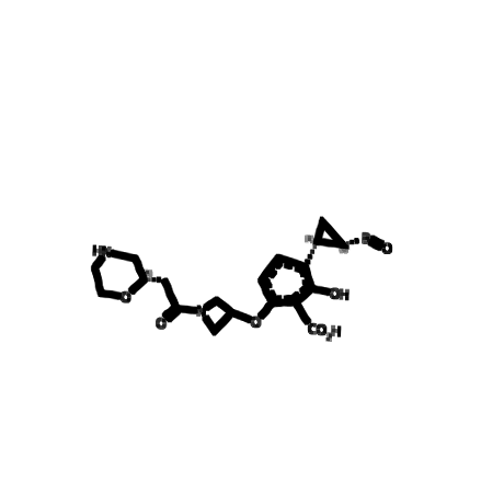 O=B[C@H]1C[C@H]1c1ccc(OC2CN(C(=O)C[C@H]3CNCCO3)C2)c(C(=O)O)c1O